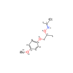 CCC(C)=NOC(C)COc1ccc(OC(C)CC)cc1